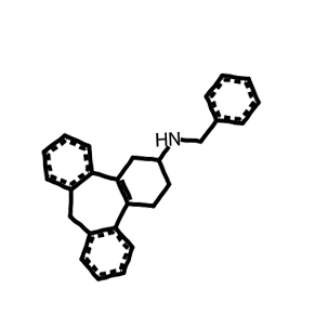 c1ccc(CNC2CCC3=C(C2)c2ccccc2Cc2ccccc23)cc1